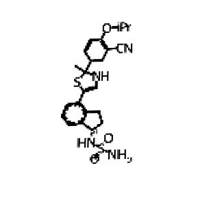 CC(C)OC1=C(C#N)CC(C2(C)NC=C(c3cccc4c3CC[C@@H]4NS(N)(=O)=O)S2)C=C1